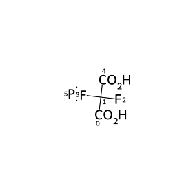 O=C(O)C(F)(F)C(=O)O.[P]